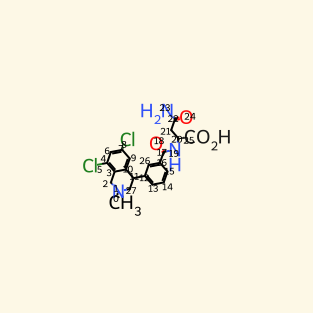 CN1Cc2c(Cl)cc(Cl)cc2C(c2cccc(C(=O)N[C@@H](CC(N)=O)C(=O)O)c2)C1